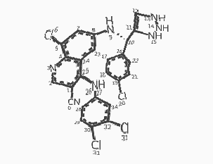 N#Cc1cnc2c(Cl)cc(N[C@H](C3=CNNN3)c3ccc(Cl)cc3)cc2c1Nc1ccc(Cl)c(Cl)c1